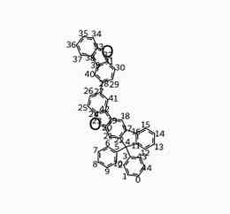 c1ccc(C2(c3ccccc3)c3ccccc3-c3cc4c(cc32)oc2ccc(-c3ccc5oc6ccccc6c5c3)cc24)cc1